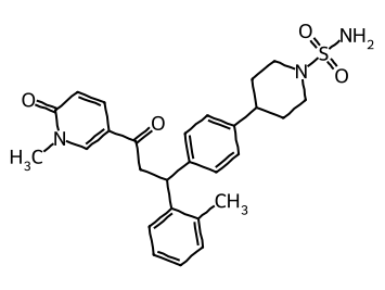 Cc1ccccc1C(CC(=O)c1ccc(=O)n(C)c1)c1ccc(C2CCN(S(N)(=O)=O)CC2)cc1